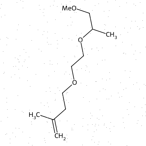 C=C(C)CCOCCOC(C)COC